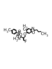 CCCCc1nc2cc(C)c(OC/C(=C\F)C(N)OS(=O)(=O)c3ccc(C)cc3)cc2o1